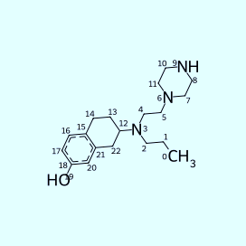 CCCN(CCN1CCNCC1)C1CCc2ccc(O)cc2C1